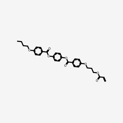 C=CC(=O)OCCCOc1ccc(C(=O)Oc2ccc(OC(=O)c3ccc(OCCCC)cc3)cc2)cc1